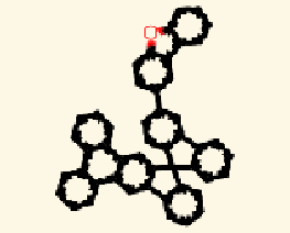 c1ccc2c(c1)-c1cc(-c3ccc4oc5ccccc5c4c3)ccc1C21c2ccccc2-c2cc3c4ccccc4c4ccccc4c3cc21